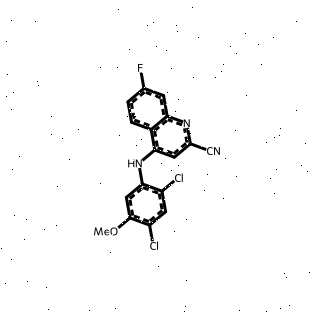 COc1cc(Nc2cc(C#N)nc3cc(F)ccc23)c(Cl)cc1Cl